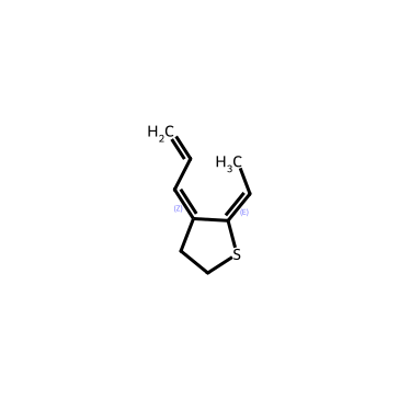 C=C/C=C1/CCS/C1=C/C